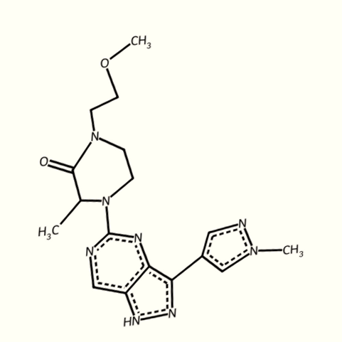 COCCN1CCN(c2ncc3[nH]nc(-c4cnn(C)c4)c3n2)C(C)C1=O